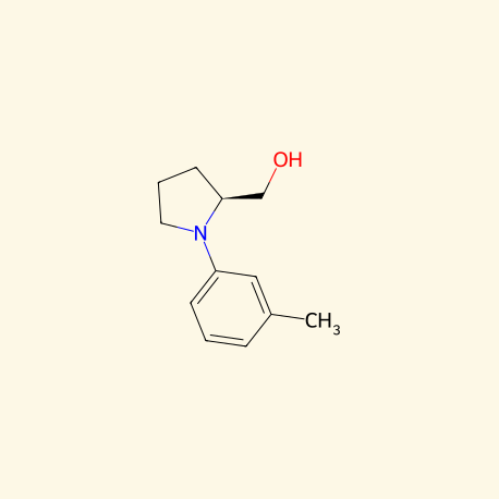 Cc1cccc(N2CCC[C@H]2CO)c1